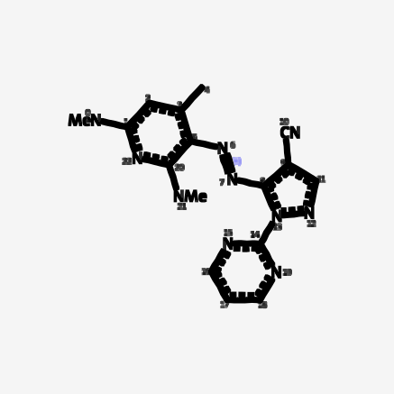 CNc1cc(C)c(/N=N/c2c(C#N)cnn2-c2ncccn2)c(NC)n1